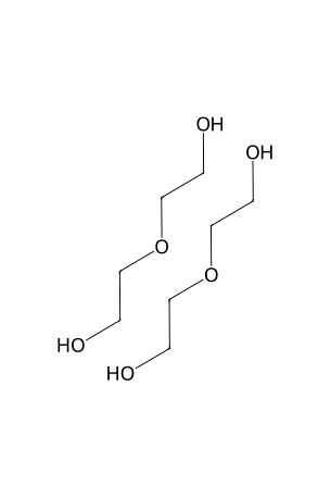 OCCOCCO.OCCOCCO